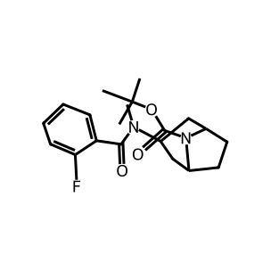 CN(C(=O)c1ccccc1F)C1CC2CCC(C1)N2C(=O)OC(C)(C)C